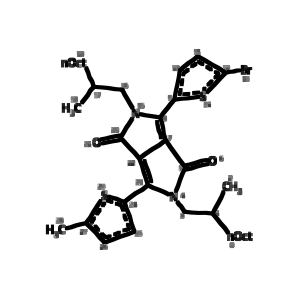 CCCCCCCCC(C)CN1C(=O)C2=C(c3ccc(Br)s3)N(CC(C)CCCCCCCC)C(=O)C2=C1c1ccc(C)s1